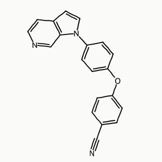 N#Cc1ccc(Oc2ccc(-n3ccc4ccncc43)cc2)cc1